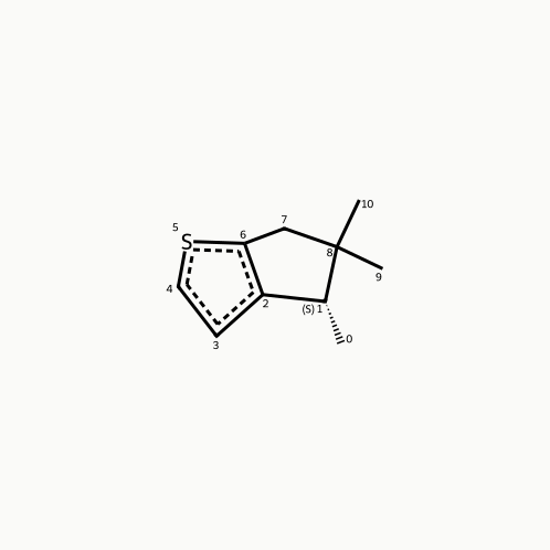 C[C@@H]1c2ccsc2CC1(C)C